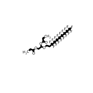 C=CC(=O)OCC(OCCC(F)(F)C(F)(F)C(F)(F)C(F)(F)C(F)(F)C(F)(F)C(F)(F)C(F)(F)F)OC(=O)C=C